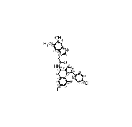 Cc1cc2ncn(CC(=O)NC(Cc3cc(F)cc(F)c3)c3cnc(-c4ccc(Cl)cc4)o3)c2cc1C